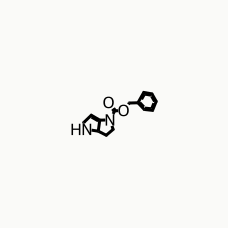 O=C(OCc1ccccc1)N1CCC2NCC=C21